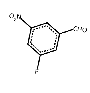 O=Cc1cc(F)cc([N+](=O)[O-])c1